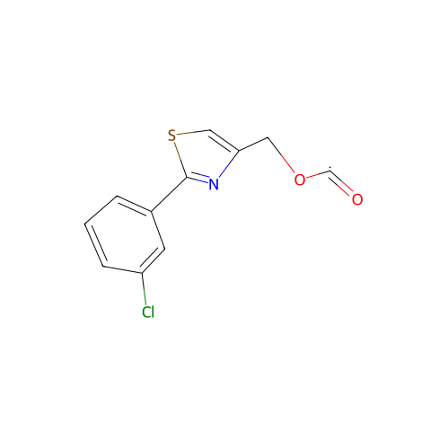 O=[C]OCc1csc(-c2cccc(Cl)c2)n1